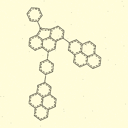 c1ccc(-n2c3cccc4c(-c5ccc(-c6cc7ccc8cccc9ccc(c6)c7c89)cc5)cc5c(-c6cc7ccc8cccc9ccc(c6)c7c89)ccc2c5c43)cc1